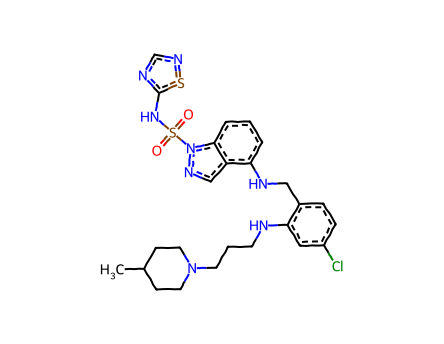 CC1CCN(CCCNc2cc(Cl)ccc2CNc2cccc3c2cnn3S(=O)(=O)Nc2ncns2)CC1